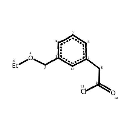 CCOCc1cccc(CC(=O)Cl)c1